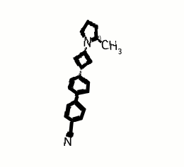 C[C@@H]1CCCN1[C@H]1C[C@@H](c2ccc(-c3ccc(C#N)cc3)cc2)C1